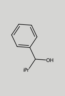 CC(C)C(O)c1ccccc1